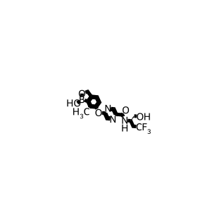 Cc1c(Oc2cnc(C(=O)N[C@H](CO)CC(F)(F)F)cn2)ccc2c1B(O)OC2